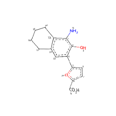 Nc1c(O)c(-c2ccc(C(=O)O)o2)cc2c1CCCC2